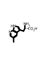 Cc1cnc2[nH]cc(C[C@H](N)C(=O)O)c2c1